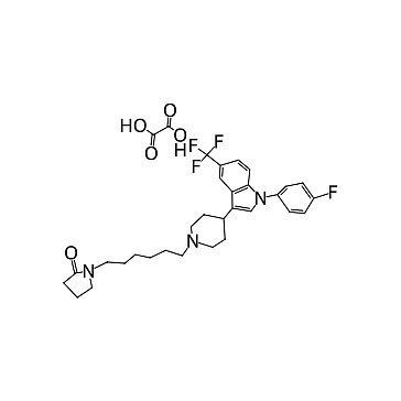 O=C(O)C(=O)O.O=C1CCCN1CCCCCCN1CCC(c2cn(-c3ccc(F)cc3)c3ccc(C(F)(F)F)cc23)CC1